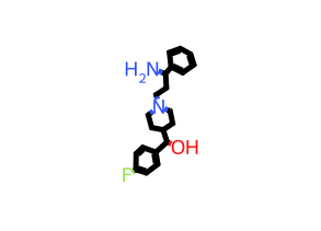 NC(CCN1CCC(C(O)c2ccc(F)cc2)CC1)c1ccccc1